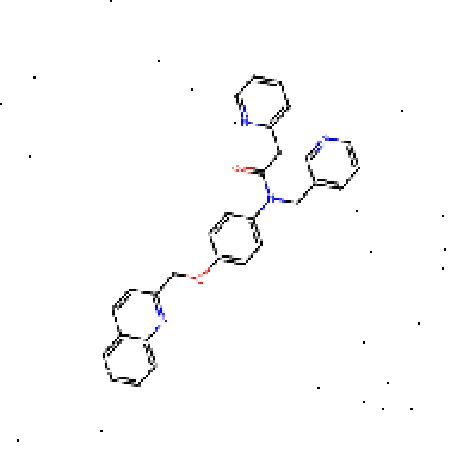 O=C(Cc1ccccn1)N(Cc1cccnc1)c1ccc(OCc2ccc3ccccc3n2)cc1